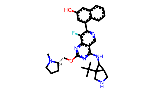 CN1CCC[C@H]1COc1nc(NC2C3CNCC32C(C)(C)C)c2cnc(-c3cc(O)cc4ccccc34)c(F)c2n1